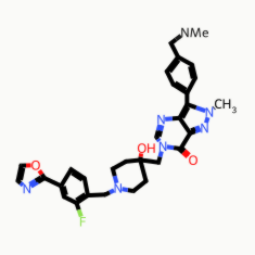 CNCc1ccc(-c2c3ncn(CC4(O)CCN(Cc5ccc(-c6ncco6)cc5F)CC4)c(=O)c3nn2C)cc1